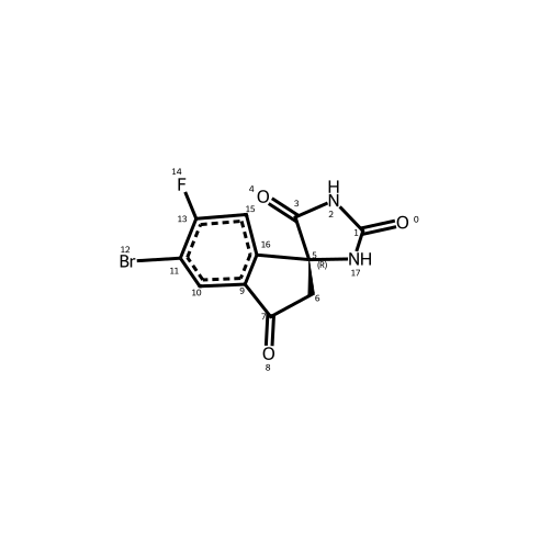 O=C1NC(=O)[C@]2(CC(=O)c3cc(Br)c(F)cc32)N1